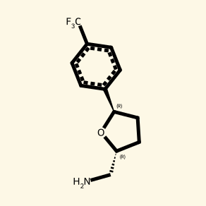 NC[C@H]1CC[C@H](c2ccc(C(F)(F)F)cc2)O1